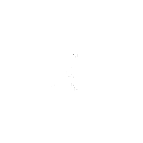 CCCOC1N=C(Oc2ccc3[nH]c(C)cc3c2)c2cc(OC)ccc2N1N(C)C